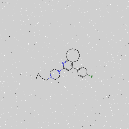 Fc1ccc(-c2cc(N3CCN(CC4CC4)CC3)nc3c2CCCCCC3)cc1